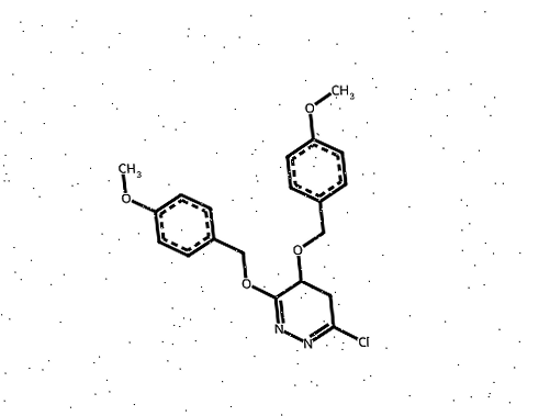 COc1ccc(COC2=NN=C(Cl)CC2OCc2ccc(OC)cc2)cc1